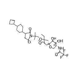 CCC(C)(C[C@@]1(CCOC)OC[C@@H](NC(=O)C(F)(F)F)[C@@H](O)[C@H]1O)OCC(C)(C)N1C(=O)CC(C2CCC(C3CCC3)CC2)C1=O